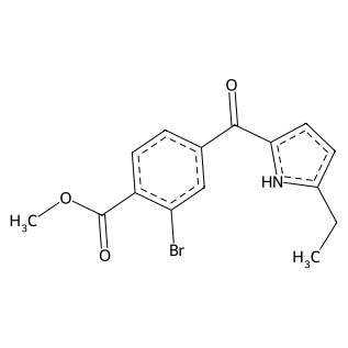 CCc1ccc(C(=O)c2ccc(C(=O)OC)c(Br)c2)[nH]1